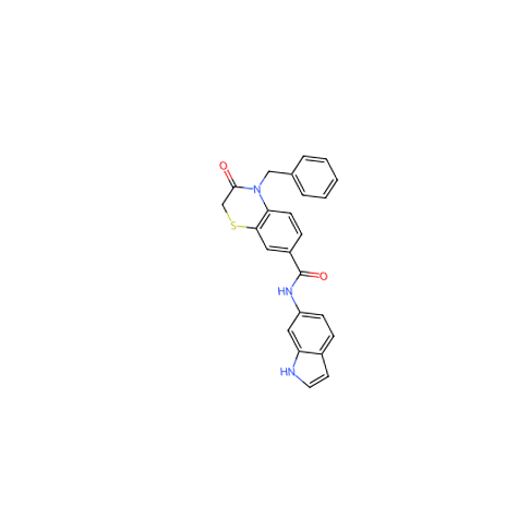 O=C(Nc1ccc2cc[nH]c2c1)c1ccc2c(c1)SCC(=O)N2Cc1ccccc1